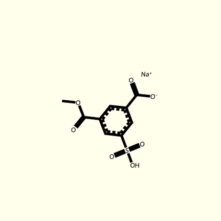 COC(=O)c1cc(C(=O)[O-])cc(S(=O)(=O)O)c1.[Na+]